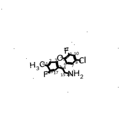 Cc1cc(Oc2ccc(Cl)cc2F)c(CCN)cc1F